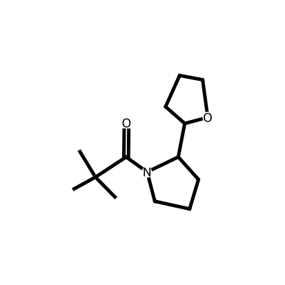 CC(C)(C)C(=O)N1CCCC1C1CCCO1